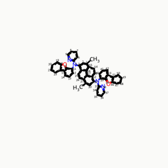 Cc1cc(N(c2ccccn2)c2cccc3c2oc2ccccc23)c2ccc3c(C)cc(N(c4ccccn4)c4cccc5c4oc4ccccc45)c4ccc1c2c34